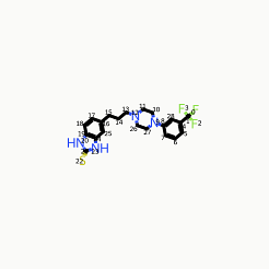 FC(F)(F)c1cccc(N2CCN(CCCc3ccc4[nH]c(=S)[nH]c4c3)CC2)c1